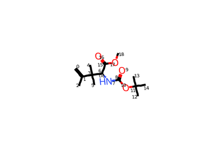 C=C(C)C(C)(C)[C@H](NC(=O)OC(C)(C)C)C(=O)OC